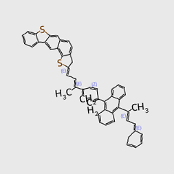 C=C(/C=C\C(=C)c1c2ccccc2c(/C(C)=C/C=C2/C=CC=CC2)c2ccccc12)/C(C)=C/C=C1\Cc2ccc3cc4sc5ccccc5c4cc3c2S1